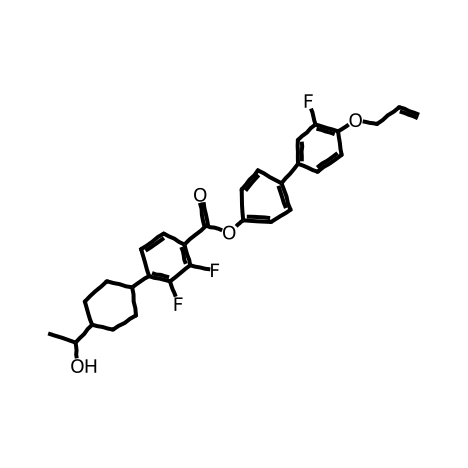 C=CCOc1ccc(-c2ccc(OC(=O)c3ccc(C4CCC(C(C)O)CC4)c(F)c3F)cc2)cc1F